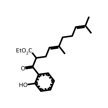 CCOC(=O)C(C/C=C(\C)CCC=C(C)C)C(=O)c1ccccc1O